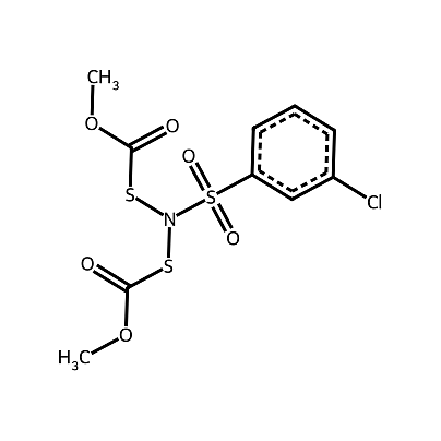 COC(=O)SN(SC(=O)OC)S(=O)(=O)c1cccc(Cl)c1